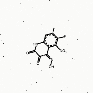 O=C1Nc2cc(F)c(F)c([N+](=O)[O-])c2/C(=N/O)C1=O